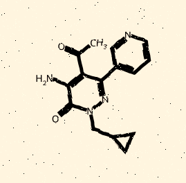 CC(=O)c1c(-c2cccnc2)nn(CC2CC2)c(=O)c1N